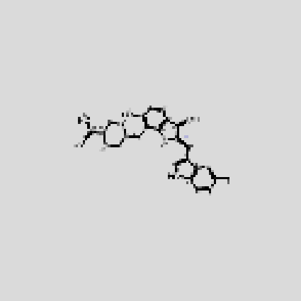 Cc1ccc2[nH]cc(/C=C3\Oc4c(ccc(O)c4CN4CCN(C(=O)O)CC4)C3=O)c2c1